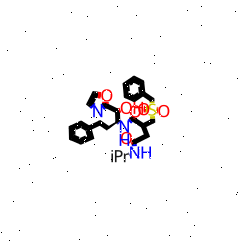 CC(C)NC(=O)CC(CS(=O)(=O)Cc1ccccc1)C(=O)N[C@@H](CCc1ccccc1)C(O)c1ncco1